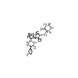 COc1ccc(-c2nnc3n2C(=O)C(Cc2ccccc2)S3)cc1